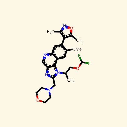 COc1cc2c(cc1-c1c(C)noc1C)ncc1nc(CN3CCOCC3)n(C(C)COC(F)F)c12